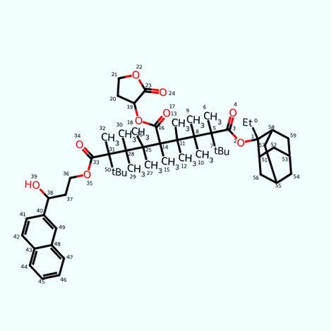 CCC1(OC(=O)C(C)(C(C)(C)C)C(C)(C)C(C)(C)C(C)(C(=O)OC2CCOC2=O)C(C)(C)C(C)(C)C(C)(C(=O)OCCC(O)c2ccc3ccccc3c2)C(C)(C)C)C2CC3CC(C2)CC1C3